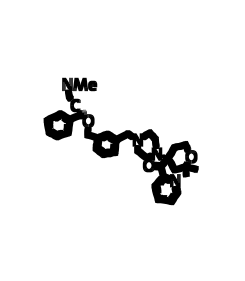 CNCC[C@@H](OCc1cccc(CN2CCN([C@]3(C(=O)c4ccccn4)CCOC(C)(C)C3)CC2)c1)c1ccccc1